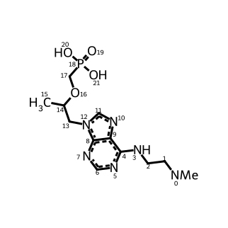 CNCCNc1ncnc2c1ncn2CC(C)OCP(=O)(O)O